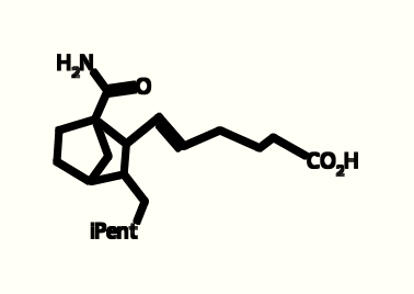 CCCC(C)CC1C2CCC(C(N)=O)(C2)C1C=CCCCC(=O)O